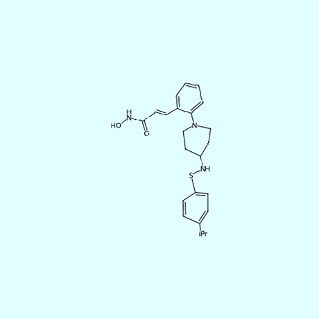 CC(C)c1ccc(SNC2CCN(c3ccccc3/C=C/C(=O)NO)CC2)cc1